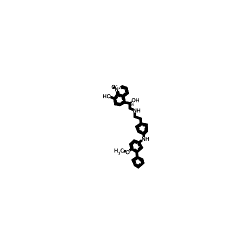 COc1ccc(Nc2ccc(CCNC[C@H](O)c3ccc(O)c4c3ccc[n+]4[O-])cc2)cc1-c1ccccc1